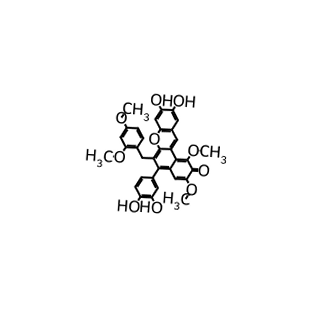 COc1ccc(Cc2c(-c3ccc(O)c(O)c3)c3cc(OC)c(=O)c(OC)c3c3cc4cc(O)c(O)cc4oc23)c(OC)c1